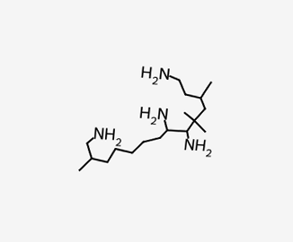 CC(CN)CCCCCC(N)C(N)C(C)(C)CC(C)CCN